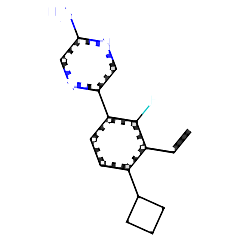 C=Cc1c(C2CCC2)ccc(-c2cnc(N)cn2)c1F